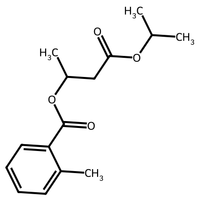 Cc1ccccc1C(=O)OC(C)CC(=O)OC(C)C